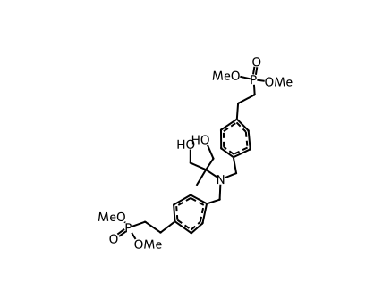 COP(=O)(CCc1ccc(CN(Cc2ccc(CCP(=O)(OC)OC)cc2)C(C)(CO)CO)cc1)OC